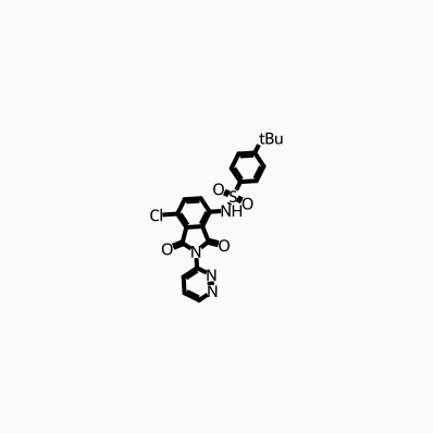 CC(C)(C)c1ccc(S(=O)(=O)Nc2ccc(Cl)c3c2C(=O)N(c2cccnn2)C3=O)cc1